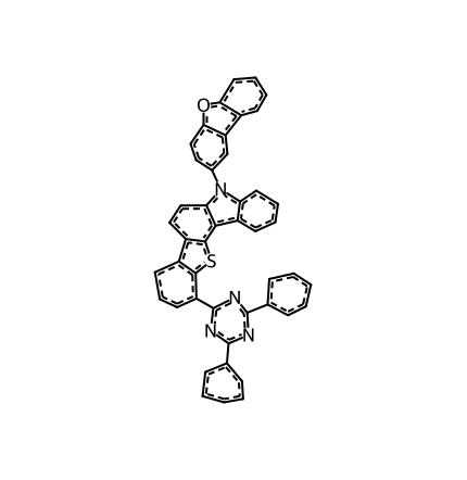 c1ccc(-c2nc(-c3ccccc3)nc(-c3cccc4c3sc3c4ccc4c3c3ccccc3n4-c3ccc4oc5ccccc5c4c3)n2)cc1